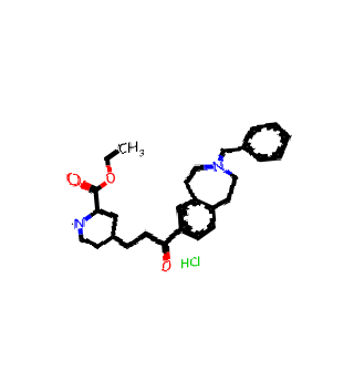 CCOC(=O)C1CC(CCC(=O)c2ccc3c(c2)CCN(Cc2ccccc2)CC3)CC[N]1.Cl